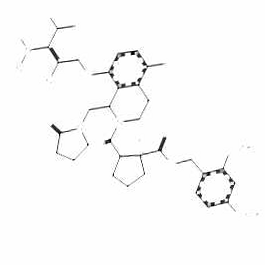 COc1ccc(COC(=O)[C@@]2(C)CCCC2C(=O)N2CCc3c(Cl)ccc(OC/C(N)=C(\C(F)F)N(C)N)c3C2CN2CCCC2=O)c(OC)c1